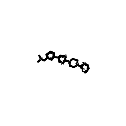 CN(C)Cc1cccc(-c2cnc(N3CCN(c4ccccn4)CC3)nc2)c1